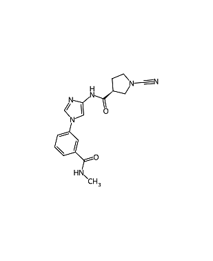 CNC(=O)c1cccc(-n2cnc(NC(=O)[C@H]3CCN(C#N)C3)c2)c1